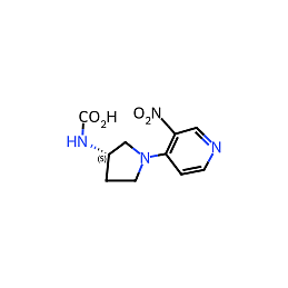 O=C(O)N[C@H]1CCN(c2ccncc2[N+](=O)[O-])C1